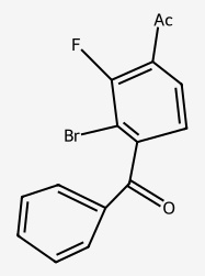 CC(=O)c1ccc(C(=O)c2ccccc2)c(Br)c1F